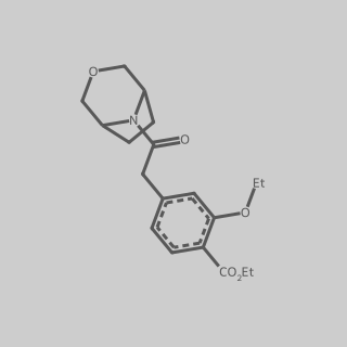 CCOC(=O)c1ccc(CC(=O)N2C3CCC2COC3)cc1OCC